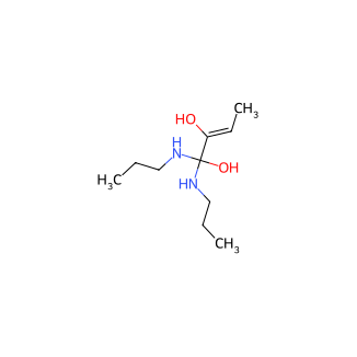 CC=C(O)C(O)(NCCC)NCCC